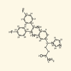 NC(=O)CCC(c1ccc2nc(-c3ccc(F)cc3)c(-c3ccc(F)cc3)nc2c1)n1ccnc1